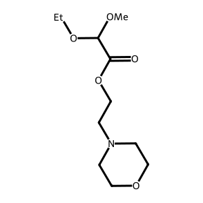 CCOC(OC)C(=O)OCCN1CCOCC1